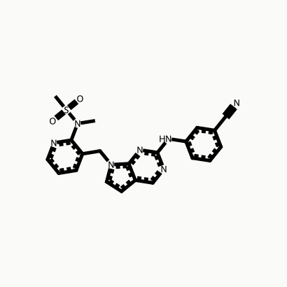 CN(c1ncccc1Cn1ccc2cnc(Nc3cccc(C#N)c3)nc21)S(C)(=O)=O